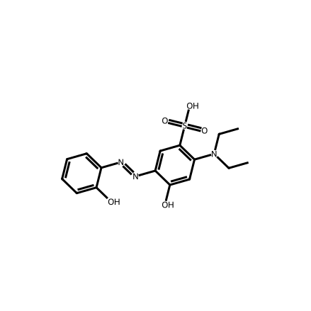 CCN(CC)c1cc(O)c(N=Nc2ccccc2O)cc1S(=O)(=O)O